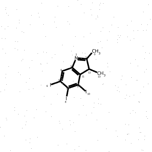 CC1=Nc2cc(I)c(I)c(I)c2C1C